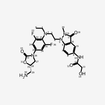 CCN(CCn1c2ccc(NC(=O)CO)cc2c(=O)n1C)c1c(F)cc(N2C[C@H](CN)OC2=O)cc1F